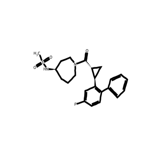 CS(=O)(=O)N[C@@H]1CCCN(C(=O)[C@@H]2C[C@H]2c2cc(F)ccc2-c2ccccc2)CC1